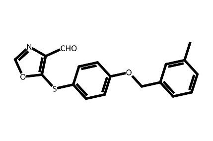 Cc1cccc(COc2ccc(Sc3ocnc3C=O)cc2)c1